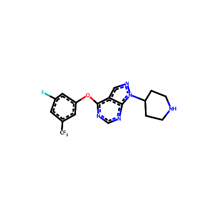 Fc1cc(Oc2ncnc3c2cnn3C2CCNCC2)cc(C(F)(F)F)c1